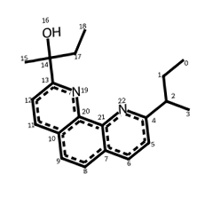 CCC(C)c1ccc2ccc3ccc(C(C)(O)CC)nc3c2n1